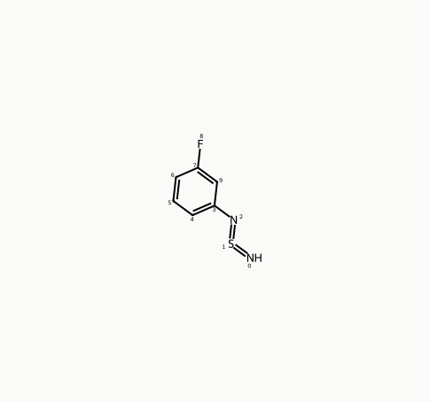 N=S=Nc1cccc(F)c1